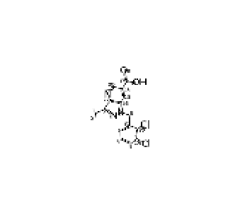 CCc1nn(Cc2cccc(Cl)c2Cl)c2cc(C(=O)O)cnc12